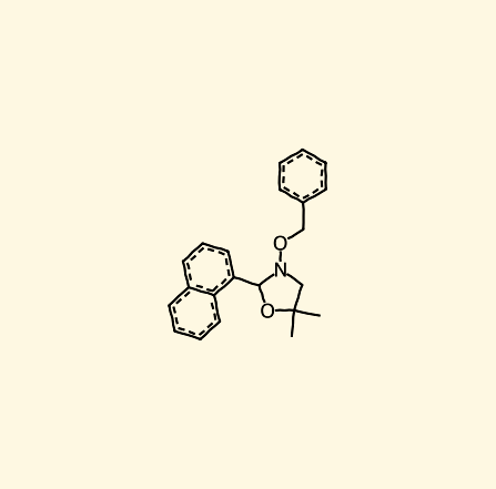 CC1(C)CN(OCc2ccccc2)C(c2cccc3ccccc23)O1